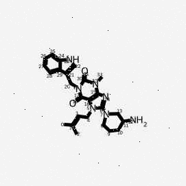 CC(C)=CCn1c(N2CCCC(N)C2)nc2c1c(=O)n(Cc1c[nH]c3ccccc13)c(=O)n2C